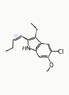 CC/C=C\c1[nH]c2cc(OC)c(Cl)cc2c1CC